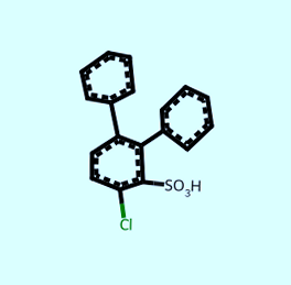 O=S(=O)(O)c1c(Cl)ccc(-c2ccccc2)c1-c1ccccc1